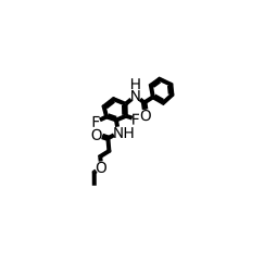 CCOCCC(=O)Nc1c(F)ccc(NC(=O)c2ccccc2)c1F